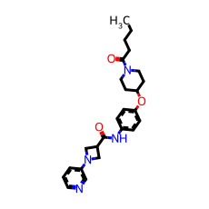 CCCCC(=O)N1CCC(Oc2ccc(NC(=O)C3CN(c4cccnc4)C3)cc2)CC1